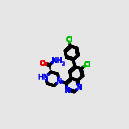 NC(=O)[C@@H]1CN(c2ncnc3cc(Cl)c(-c4ccc(Cl)cc4)cc23)CCN1